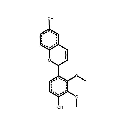 COc1c(O)ccc([C@@H]2C=Cc3cc(O)ccc3O2)c1OC